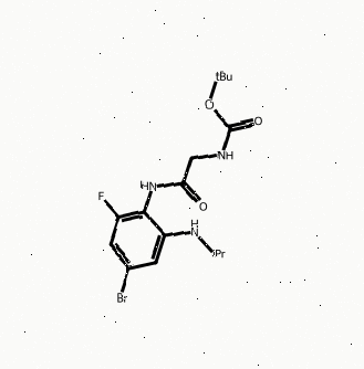 CC(C)Nc1cc(Br)cc(F)c1NC(=O)CNC(=O)OC(C)(C)C